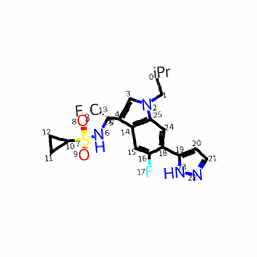 CC(C)Cn1cc([C@H](NS(=O)(=O)C2CC2)C(F)(F)F)c2cc(F)c(-c3ccn[nH]3)cc21